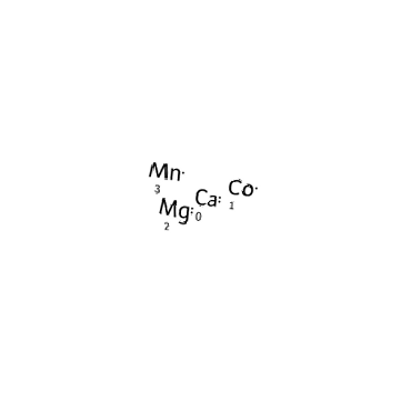 [Ca].[Co].[Mg].[Mn]